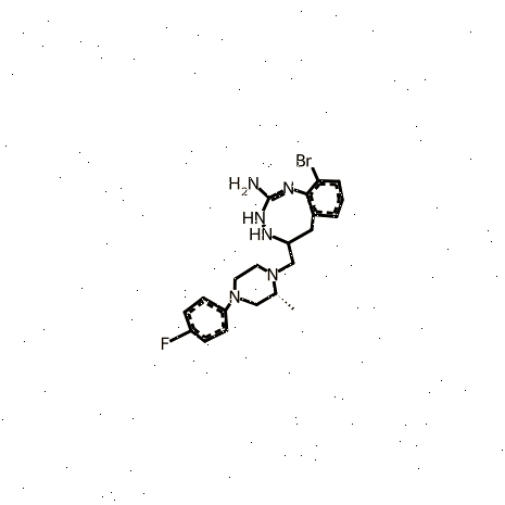 C[C@@H]1CN(c2ccc(F)cc2)CCN1CC1Cc2cccc(Br)c2/N=C(/N)NN1